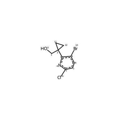 OCC1(c2nc(Cl)ccc2Br)CC1